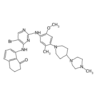 COc1cc(N2CCC(N3CCN(C)CC3)CC2)c(C)cc1Nc1ncc(Br)c(Nc2cccc3c2C(=O)CCC3)n1